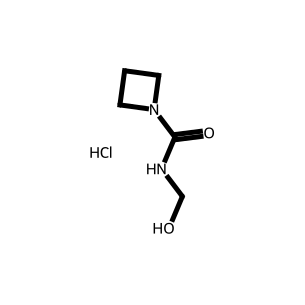 Cl.O=C(NCO)N1CCC1